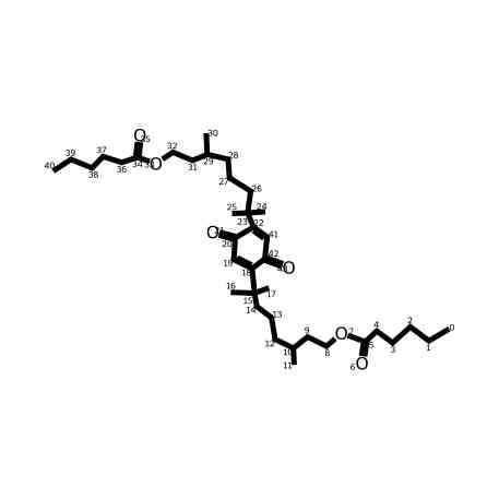 CCCCCC(=O)OCCC(C)CCCC(C)(C)C1=CC(=O)C(C(C)(C)CCCC(C)CCOC(=O)CCCCC)=CC1=O